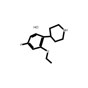 CCOc1cc(F)ccc1C1CCNCC1.Cl